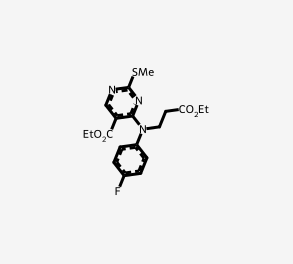 CCOC(=O)CCN(c1ccc(F)cc1)c1nc(SC)ncc1C(=O)OCC